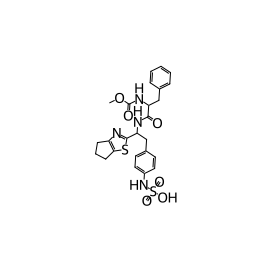 COC(=O)NC(Cc1ccccc1)C(=O)NC(Cc1ccc(NS(=O)(=O)O)cc1)c1nc2c(s1)CCC2